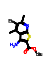 CCc1c(C)nc2sc(C(=O)OC(C)(C)C)c(N)c2c1C